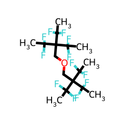 CC(F)(F)C(COCC(C(C)(F)F)(C(C)(F)F)C(C)(F)F)(C(C)(F)F)C(C)(F)F